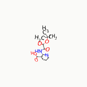 CC(C)(C)OC(=O)C(=O)Nc1ncccc1C(=O)O